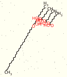 CCCCCCCC(=O)O.CCCCCCCC(=O)O.CCCCCCCC(=O)O.CCCCCCCC(=O)O.CCCCCCCCCCCCCCCCCCCCCCCCCCCCCCOCC(O)CO